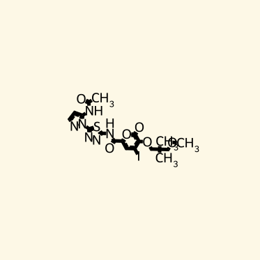 COCC(C)(C)COc1c(I)cc(C(=O)Nc2nnc(-n3nccc3NC(C)=O)s2)oc1=O